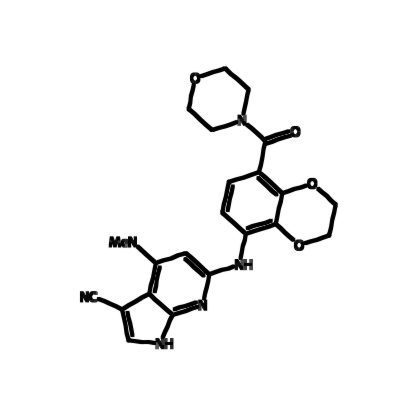 CNc1cc(Nc2ccc(C(=O)N3CCOCC3)c3c2OCCO3)nc2[nH]cc(C#N)c12